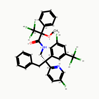 COC(C(=O)NC[C@](Cc1ccccc1)(c1cc(F)cc(C(F)(F)F)c1)c1ccc(F)cn1)(c1ccccc1)C(F)(F)F